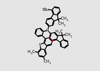 Cc1cc(C)c2sc3c(-c4ccccc4N(c4ccc5c(c4)C(C)(C)c4ccccc4-5)c4ccc5c(c4)C(C)(C)c4cccc(C(C)(C)C)c4-5)cccc3c2c1